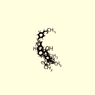 CSCc1ccc(Cn2cc3c(n2)C=C2CC[C@@H]4[C@H]([C@@H](O)C[C@@]5(C)[C@H]4C[C@H]4OC(C)=N[C@]45C(=O)COC(C)=O)[C@@]2(C)C3)cc1